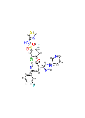 O=S(=O)(Nc1cscn1)c1cc(Cl)c(Oc2cnc(-c3cccc(F)c3)cc2-c2cn(-c3cccnc3)cn2)cc1F